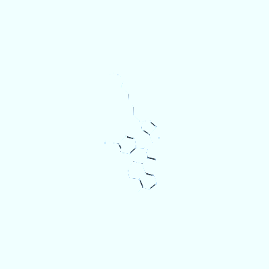 CCCCOCCOCCn1cc(CN(C(=O)C2CCCc3c(O)cccc32)c2ccc(C(C)C)nc2)cn1.Cl